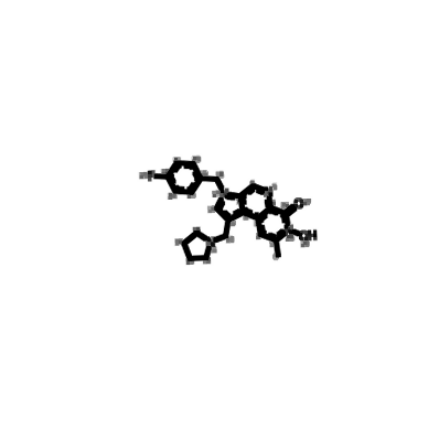 Cc1cc2c(ncc3c2c(CN2CCCC2)cn3Cc2ccc(F)cc2)c(=O)n1O